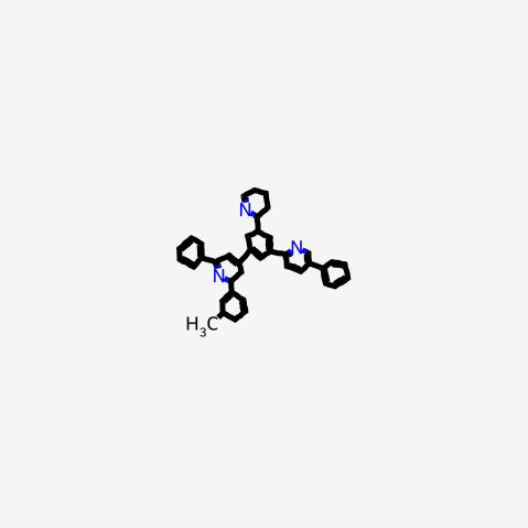 CC1C=C(C2CC(C3=CC(c4ccc(-c5ccccc5)cn4)=CC(C4CCCC=N4)C3)=CC(c3ccccc3)=N2)C=CC1